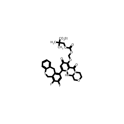 CCOC(=O)C(C)(C)COC(=O)OCOc1c2n(c(-c3cc(F)c(F)c4c3Cc3ccccc3SC4)cc1=O)NC1COCCN1C2=O